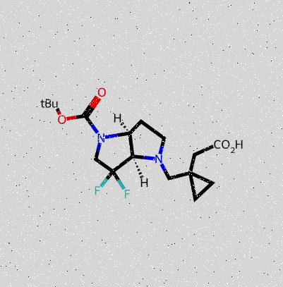 CC(C)(C)OC(=O)N1CC(F)(F)[C@H]2[C@@H]1CCN2CC1(CC(=O)O)CC1